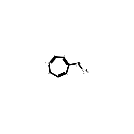 CNC1=CC=NCC=C1